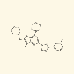 Cc1cccc(-c2ccn(-c3cc(N4CCOCC4)c4sc(CN5CCOCC5)c(C)c4n3)n2)c1